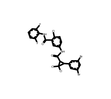 O=C(Nc1c(F)cccc1F)c1cc(NC(=O)C2C(c3cc(Br)cc(Br)c3)C2(Cl)Cl)ccc1Cl